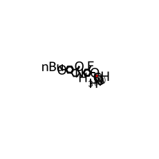 CCCCOc1ccc2c(c1)CCN(c1ccc(O[C@H]3C[C@H]4CC[C@@H](C3)N4C)c(F)c1)C2=O